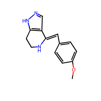 COc1ccc(C=C2NCCc3[nH]ncc32)cc1